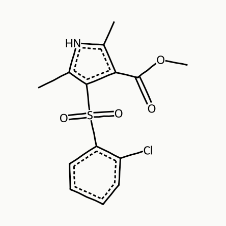 COC(=O)c1c(C)[nH]c(C)c1S(=O)(=O)c1ccccc1Cl